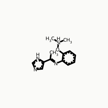 CC(=Nc1ccccc1O[SiH](C)C)c1cnc[nH]1